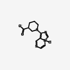 O=C([O-])C1CCCN(C2=C3C=NC=C[N+]3(Cl)C=N2)C1